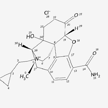 C[N@+]1(CC2CC2)CC[C@@]23c4c5ccc(C(N)=O)c4O[C@H]2C(=O)CCC3(O)[C@H]1C5.[Cl-]